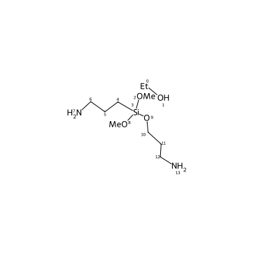 CCO.CO[Si](CCCN)(OC)OCCCN